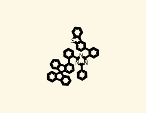 c1ccc(-c2nc(-c3ccccc3-c3ccc4sc5ccccc5c4c3)nc(-c3ccccc3-c3cccc4c3-c3ccccc3C43c4ccccc4-c4ccccc43)n2)cc1